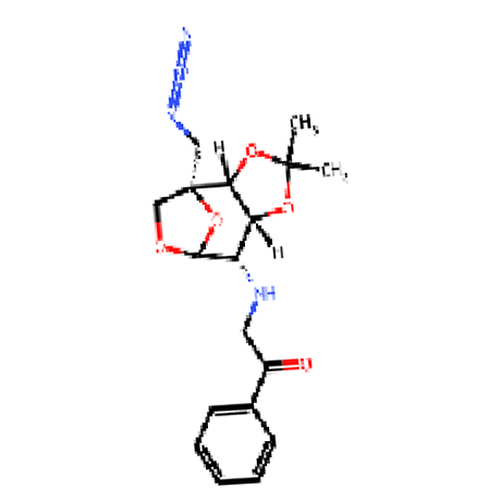 CC1(C)O[C@@H]2[C@H](NCC(=O)c3ccccc3)C3OC[C@](CN=[N+]=[N-])(O3)[C@@H]2O1